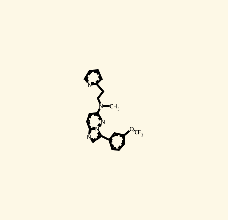 CN(CCc1ccccn1)c1ccc2ncc(-c3cccc(OC(F)(F)F)c3)n2n1